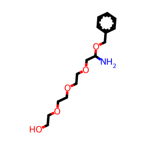 NC(COCCOCCOCCO)OCc1ccccc1